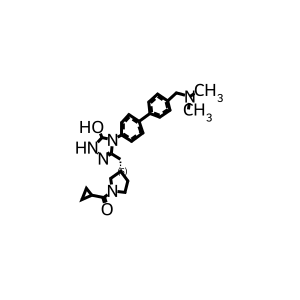 CN(C)Cc1ccc(-c2ccc(N3C(C[C@@H]4CCN(C(=O)C5CC5)C4)=NNC3O)cc2)cc1